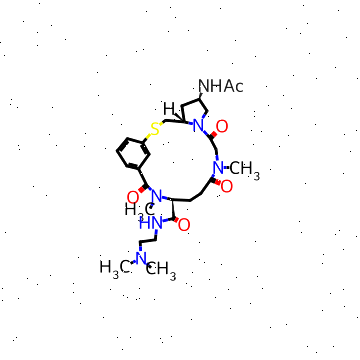 CC(=O)N[C@@H]1C[C@H]2CSc3cccc(c3)C(=O)N(C)[C@H](C(=O)NCCN(C)C)CCC(=O)N(C)CC(=O)N2C1